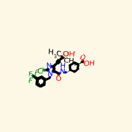 CC(C)(O)C#Cc1nc(Cl)n(Cc2cccc(C(F)(F)F)c2)c1C(=O)NC[C@H]1CC[C@H](C(=O)O)CC1